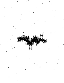 CN(C)CCNc1cc(F)cc(-c2ccnc3[nH]c(-c4n[nH]c5cnc(-c6cncc(NC(=O)C7CCCCC7)c6)cc45)nc23)c1